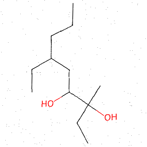 CCCC(CC)CC(O)C(C)(O)CC